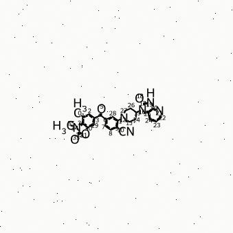 Cc1cc(C(=O)c2ccc(C#N)c(N3CCC(n4c(=O)[nH]c5ncccc54)CC3)c2)cc2oc(=O)n(C)c12